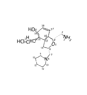 Cl.Cl.NC[C@@H]1O[C@H](CN2CCCCC2)Cc2c1ccc(O)c2O